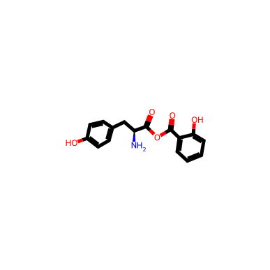 N[C@@H](Cc1ccc(O)cc1)C(=O)OC(=O)c1ccccc1O